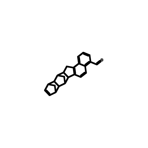 O=Cc1cccc2c3c(ccc12)C1C(C3)C2CC1C1C3C=CC(C3)C21